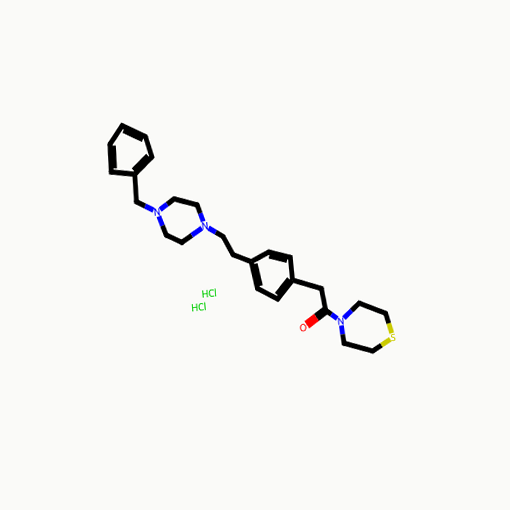 Cl.Cl.O=C(Cc1ccc(CCN2CCN(Cc3ccccc3)CC2)cc1)N1CCSCC1